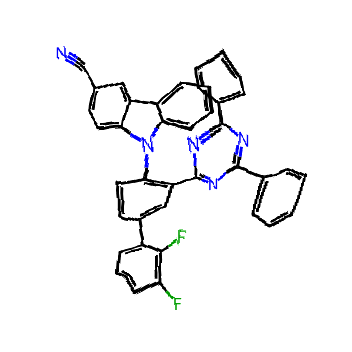 N#Cc1ccc2c(c1)c1ccccc1n2-c1ccc(-c2cccc(F)c2F)cc1-c1nc(-c2ccccc2)nc(-c2ccccc2)n1